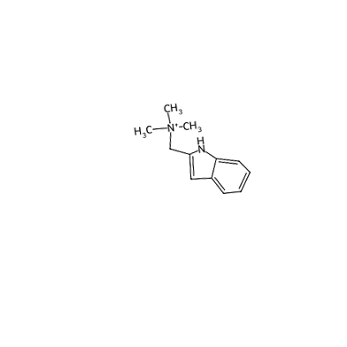 C[N+](C)(C)Cc1cc2ccccc2[nH]1